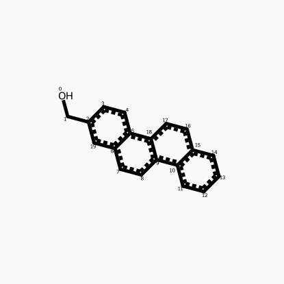 OCc1ccc2c(ccc3c4ccccc4ccc23)c1